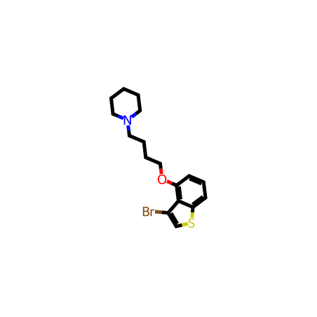 Brc1csc2cccc(OCCCCN3CCCCC3)c12